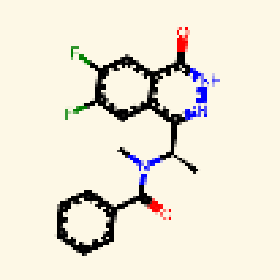 C[C@H](c1n[nH]c(=O)c2cc(F)c(F)cc12)N(C)C(=O)c1ccccc1